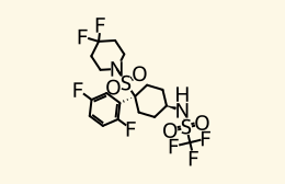 O=S(=O)(N[C@H]1CC[C@@](c2cc(F)ccc2F)(S(=O)(=O)N2CCC(F)(F)CC2)CC1)C(F)(F)F